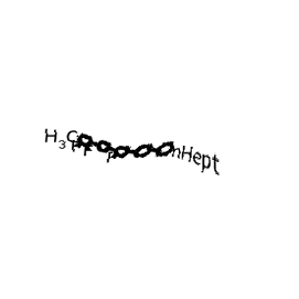 CCCCCCCC1CCC(C2CC=C(c3ccc(-c4ccc(-c5ccc(C)c(F)c5F)cc4)c(F)c3)CC2)CC1